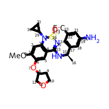 COc1cc2c(cc1OC1CCOC1)C(N[C@H](C)c1cc(N)cc(C(F)(F)F)c1)=N[S+]([O-])N2C1CC1